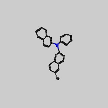 CC(C)c1ccc2cc(N(c3ccccc3)c3ccc4ccccc4c3)ccc2c1